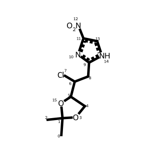 CC1(C)OCC(C(Cl)Cc2nc([N+](=O)[O-])c[nH]2)O1